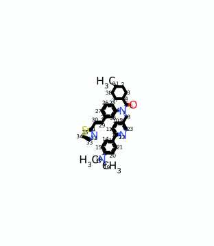 CC1CCC(C(=O)N(Cc2ccc(-c3ccc(N(C)C)cc3)nc2)c2cccc(/C=C/c3nccs3)c2)CC1